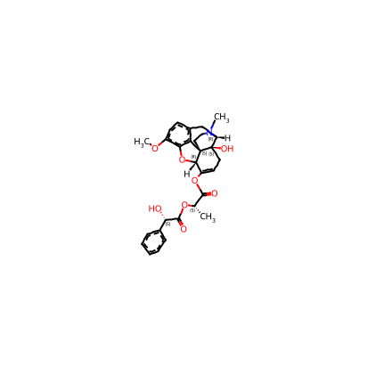 COc1ccc2c3c1O[C@H]1C(OC(=O)[C@H](C)OC(=O)[C@@H](O)c4ccccc4)=CC[C@@]4(O)[C@@H](C2)N(C)CC[C@]314